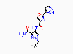 CCn1cc(NC(=O)c2coc(-c3ccn[nH]3)n2)c(C(N)=O)n1